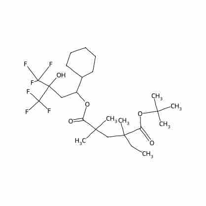 CCC(C)(CC(C)(C)C(=O)OC(CC(O)(C(F)(F)F)C(F)(F)F)C1CCCCC1)C(=O)OC(C)(C)C